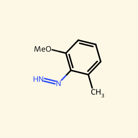 COc1cccc(C)c1N=N